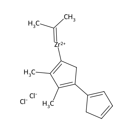 C[C](C)=[Zr+2][C]1=C(C)C(C)=C(C2=CC=CC2)C1.[Cl-].[Cl-]